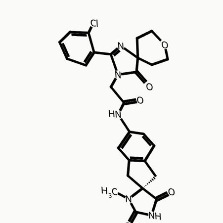 CN1C(=O)NC(=O)[C@@]12Cc1ccc(NC(=O)CN3C(=O)C4(CCOCC4)N=C3c3ccccc3Cl)cc1C2